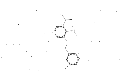 CNc1c(OCc2ccccc2)cncc1C(C)C